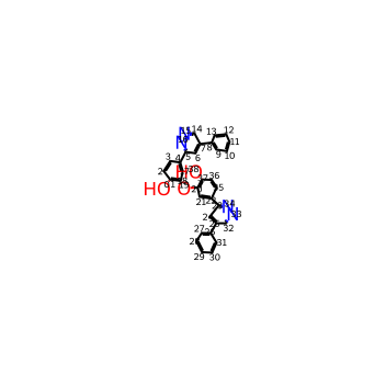 Oc1ccc(-c2cc(-c3ccccc3)cnn2)cc1Oc1cc(-c2cc(-c3ccccc3)cnn2)ccc1O